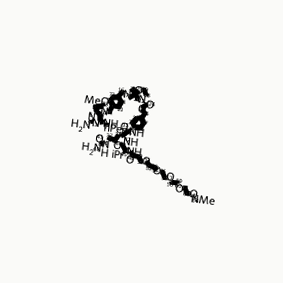 CCCCCNc1nc(N)nc2ccn(Cc3ccc(CN4CC5(C4)CN(C(=O)OCc4ccc(NC(=O)[C@H](CCCNC(N)=O)NC(=O)[C@@H](NC(=O)CCOCCOCCOCCOCCONC)C(C)C)cc4)CCO5)cc3OC)c12